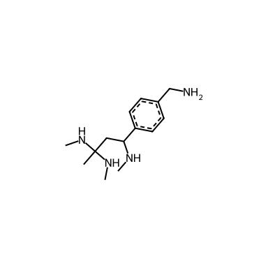 CNC(CC(C)(NC)NC)c1ccc(CN)cc1